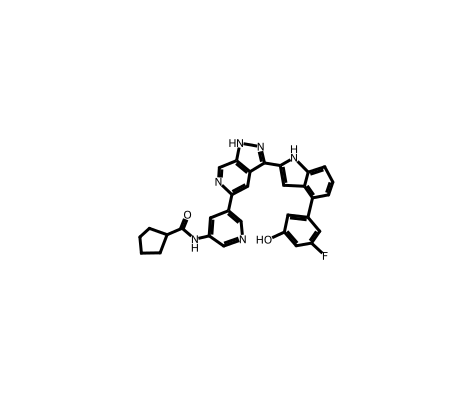 O=C(Nc1cncc(-c2cc3c(-c4cc5c(-c6cc(O)cc(F)c6)cccc5[nH]4)n[nH]c3cn2)c1)C1CCCC1